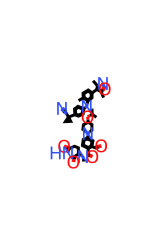 Cc1ccc(-c2c(C)noc2C)cc1N(CC(C)OC1CCN(c2ccc(C(=O)N(C)C3CCC(=O)NC3=O)c(C=O)c2)CC1)c1ccc(C2(C#N)CC2)cc1